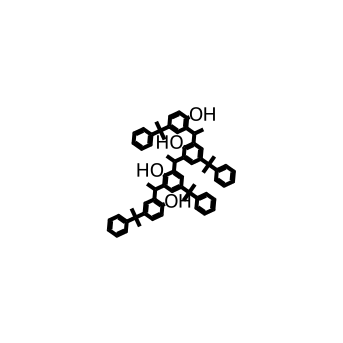 CC(c1cc(C(C)(C)c2ccccc2)ccc1O)c1cc(C(C)(C)c2ccccc2)cc(C(C)c2cc(C(C)(C)c3ccccc3)cc(C(C)c3cc(C(C)(C)c4ccccc4)ccc3O)c2O)c1O